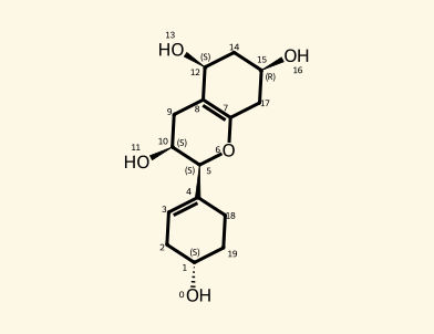 O[C@@H]1CC=C([C@@H]2OC3=C(C[C@@H]2O)[C@@H](O)C[C@@H](O)C3)CC1